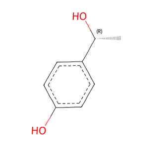 C[C@@H](O)c1ccc(O)cc1